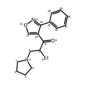 CCC(CN1CCCC1)C(=O)c1conc1-c1ccccc1